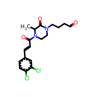 CC1C(=O)N(CCCC=O)CCN1C(=O)/C=C/c1ccc(Cl)c(Cl)c1